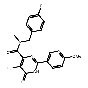 COc1ccc(-c2nc(C(=O)N(C)Cc3ccc(F)cc3)c(O)c(=O)[nH]2)cn1